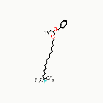 CC(C)CC(COCCCCCCCCCCCCCCC(F)(C(F)(F)F)C(F)(F)F)OCc1ccccc1